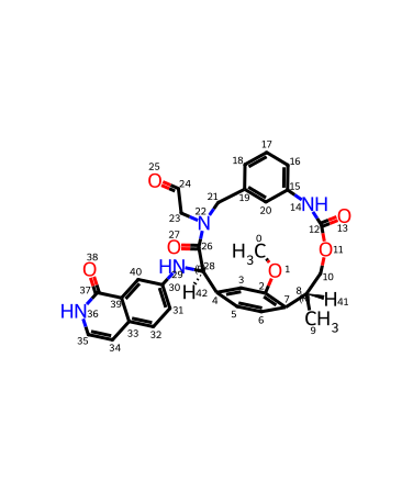 COc1cc2ccc1[C@@H](C)COC(=O)Nc1cccc(c1)CN(CC=O)C(=O)[C@@H]2Nc1ccc2cc[nH]c(=O)c2c1